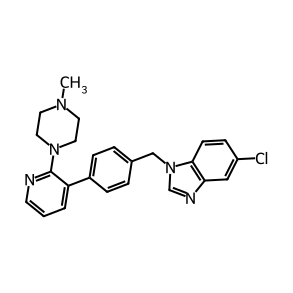 CN1CCN(c2ncccc2-c2ccc(Cn3cnc4cc(Cl)ccc43)cc2)CC1